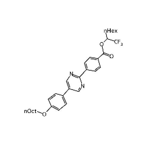 CCCCCCCCOc1ccc(-c2cnc(-c3ccc(C(=O)OC(CCCCCC)C(F)(F)F)cc3)nc2)cc1